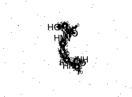 C=CCn1c(=O)c2cnc(Nc3ccc(N4CCN(Cc5c(F)cc(-c6[nH]c7cc(F)cc8c7c6CCNC8=O)cc5F)CC4)cc3)nc2n1-c1cccc(C(C)(C)O)n1